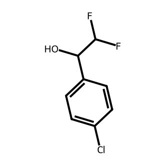 OC(c1ccc(Cl)cc1)C(F)F